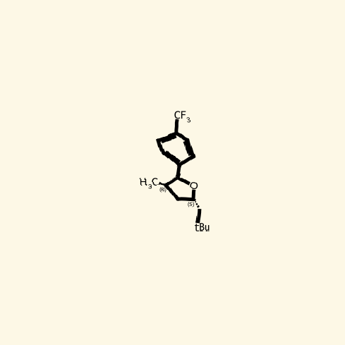 C[C@@H]1C[C@@H](CC(C)(C)C)OC1c1ccc(C(F)(F)F)cc1